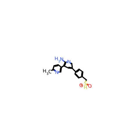 Cc1ccc(-c2cc(-c3ccc(C[SH](=O)=O)cc3)cnc2N)cn1